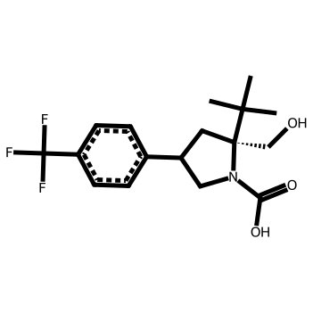 CC(C)(C)[C@]1(CO)CC(c2ccc(C(F)(F)F)cc2)CN1C(=O)O